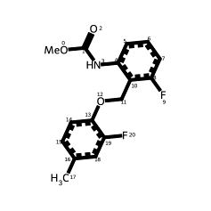 COC(=O)Nc1cccc(F)c1COc1ccc(C)cc1F